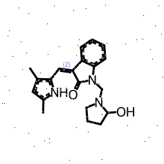 Cc1cc(C)c(/C=C2\C(=O)N(CN3CCCC3O)c3ccccc32)[nH]1